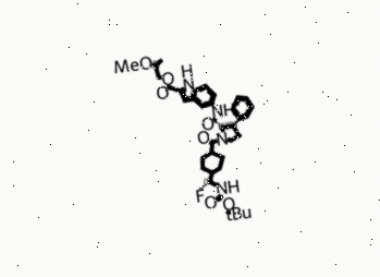 CO[C@@H](C)COC(=O)c1cc2cc(NC(=O)[C@@H]3[C@@H](c4ccccc4)CCN3C(=O)C3CCC([C@@H](CF)NC(=O)OC(C)(C)C)CC3)ccc2[nH]1